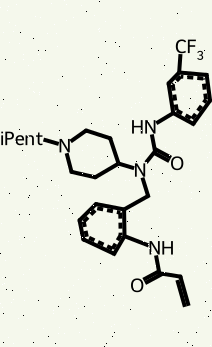 C=CC(=O)Nc1ccccc1CN(C(=O)Nc1cccc(C(F)(F)F)c1)C1CCN(C(C)CCC)CC1